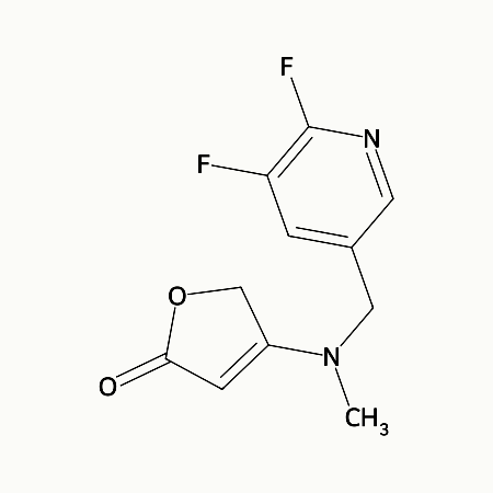 CN(Cc1cnc(F)c(F)c1)C1=CC(=O)OC1